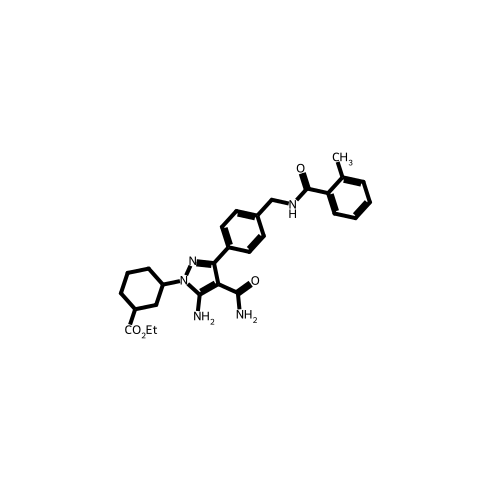 CCOC(=O)C1CCCC(n2nc(-c3ccc(CNC(=O)c4ccccc4C)cc3)c(C(N)=O)c2N)C1